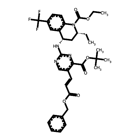 CCOC(=O)N1c2ccc(C(F)(F)F)cc2[C@@H](Nc2ncc(C=CC(=O)OCc3ccccc3)c(C(=O)OC(C)(C)C)n2)C[C@H]1CC